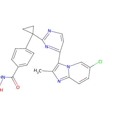 Cc1nc2ccc(Cl)cn2c1-c1ccnc(C2(c3ccc(C(=O)NO)cc3)CC2)n1